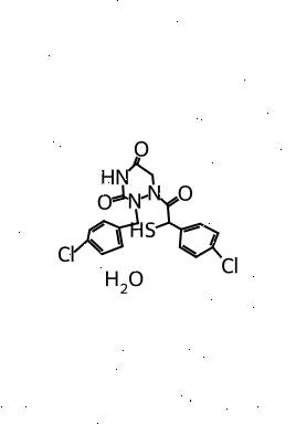 O.O=C1CN(C(=O)C(S)c2ccc(Cl)cc2)N(Cc2ccc(Cl)cc2)C(=O)N1